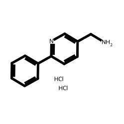 Cl.Cl.NCc1ccc(-c2ccccc2)nc1